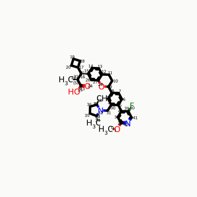 COc1cc(-c2ccc(C3CCc4ccc([C@H](C5CCC5)[C@H](C)C(=O)O)cc4O3)cc2CN2[C@H](C)CC[C@H]2C)c(F)cn1